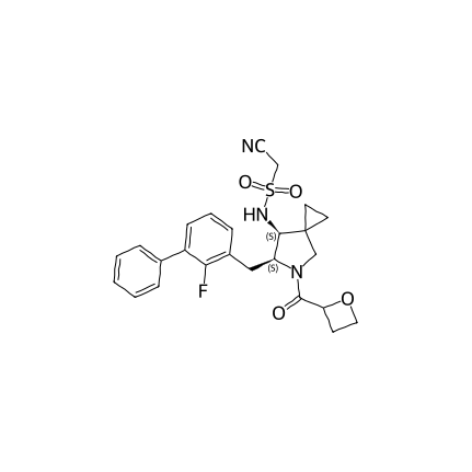 N#CCS(=O)(=O)N[C@@H]1[C@H](Cc2cccc(-c3ccccc3)c2F)N(C(=O)C2CCO2)CC12CC2